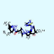 Cc1cc(C)nc(NC(=O)C2CN(c3cc(C)c4c(=O)c(C(=O)O)cn(-c5ncns5)c4n3)C2)c1